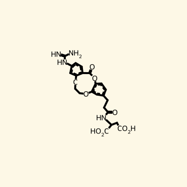 N=C(N)Nc1ccc2c(c1)CCCOc1cc(CCC(=O)NC(CC(=O)O)C(=O)O)ccc1OC2=O